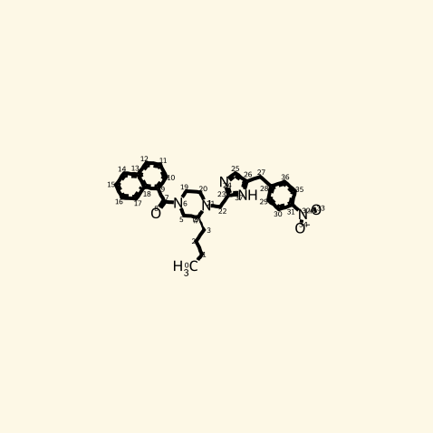 CCCC[C@H]1CN(C(=O)c2cccc3ccccc23)CCN1Cc1ncc(Cc2ccc([N+](=O)[O-])cc2)[nH]1